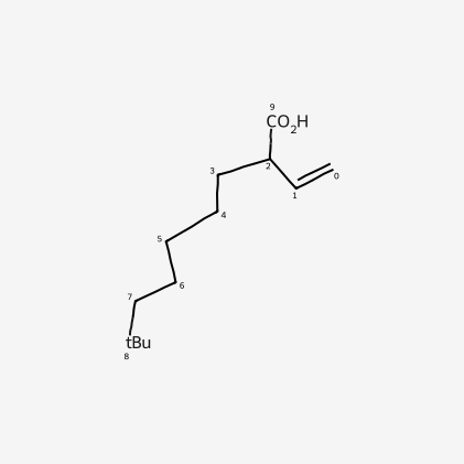 C=CC(CCCCCC(C)(C)C)C(=O)O